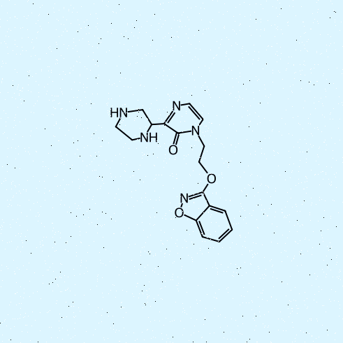 O=c1c(C2CNCCN2)nccn1CCOc1noc2ccccc12